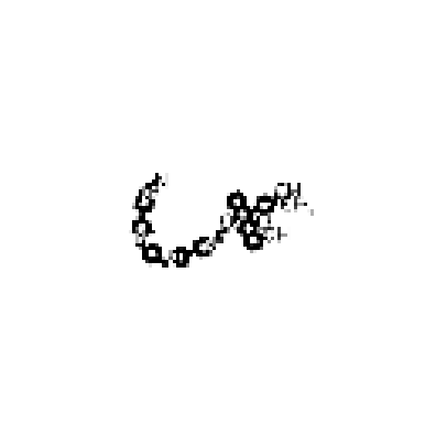 C[N+](C)=c1ccc2c(-c3ccccc3C(=O)OCCC[n+]3ccc(-c4cc[n+](Cc5ccc(C[n+]6ccc(-c7cc[n+](CC#N)cc7)cc6)cc5)cc4)cc3)c3ccc4cccc(O)c4c3oc-2c1